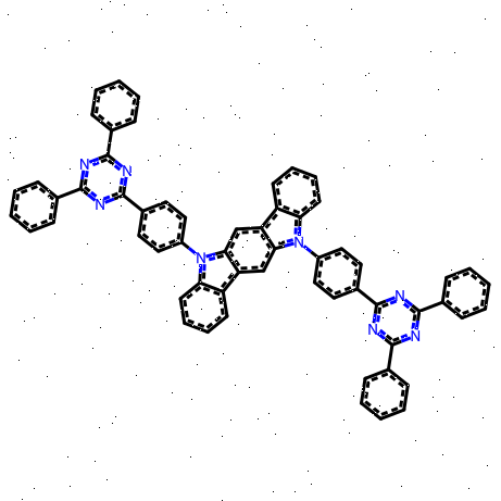 c1ccc(-c2nc(-c3ccccc3)nc(-c3ccc(-n4c5ccccc5c5cc6c(cc54)c4ccccc4n6-c4ccc(-c5nc(-c6ccccc6)nc(-c6ccccc6)n5)cc4)cc3)n2)cc1